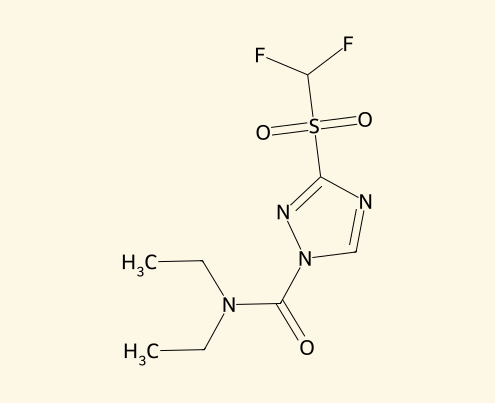 CCN(CC)C(=O)n1cnc(S(=O)(=O)C(F)F)n1